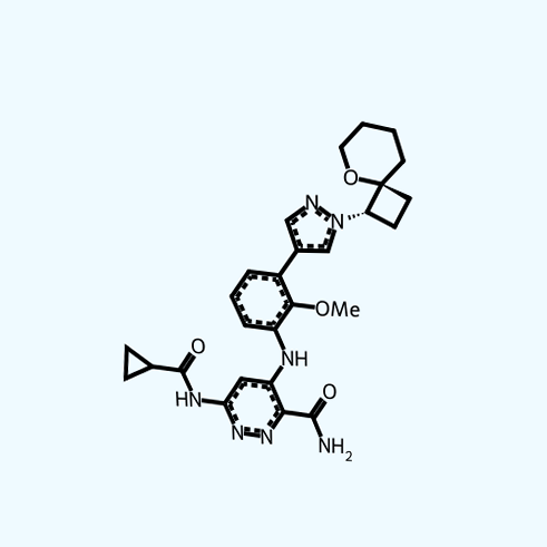 COc1c(Nc2cc(NC(=O)C3CC3)nnc2C(N)=O)cccc1-c1cnn([C@H]2CC[C@@]23CCCCO3)c1